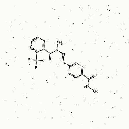 CN(N=Cc1ccc(C(=O)NO)cc1)C(=O)c1cccnc1C(F)(F)F